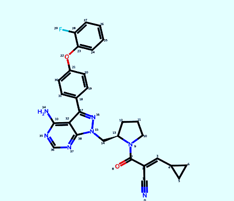 N#C/C(=C\C1CC1)C(=O)N1CCC[C@@H]1Cn1nc(-c2ccc(Oc3ccccc3F)cc2)c2c(N)ncnc21